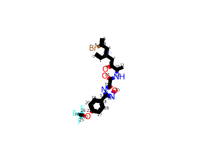 C=C/C(=C\C(=C)Br)CC(=O)C(C)NC(=O)c1nc(-c2ccc(OC(F)(F)F)cc2)no1